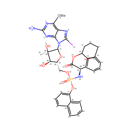 COc1nc(N)nc2c1nc(I)n2C1O[C@H](COP(=O)(N[C@@H](C(=O)OC2CCCCC2)c2ccccc2)Oc2cccc3ccccc23)[C@@H](O)[C@@]1(C)O